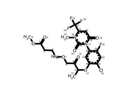 COC(=O)CCNOCC(=O)C(C)Oc1cc(-n2c(=O)cc(C(F)(F)F)n(C)c2=O)c(F)cc1Cl